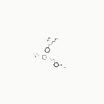 CCCCCC(O[Si](C)(C)C(C)(C)C)c1ccc([C@@H]2[C@@H](CCCc3cccc(C(=O)OCC)c3)[C@@H](O)C[C@H]2O[Si](C)(C)C(C)(C)C)cc1